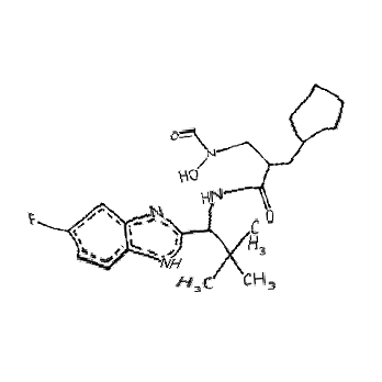 CC(C)(C)C(NC(=O)C(CC1CCCC1)CN(O)C=O)c1nc2cc(F)ccc2[nH]1